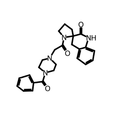 O=C(c1ccccc1)N1CCN(CC(=O)N2CCCC23Cc2ccccc2NC3=O)CC1